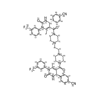 CC1=C(C(=O)N2CCN(CCN3CCN(C(=O)C4=C(C)N(c5cccc(C(F)(F)F)c5)C(=O)N[C@@H]4c4ccc(C#N)cc4)CC3)CC2)[C@@H](c2ccc(C#N)cc2)NC(=O)N1c1cccc(C(F)(F)F)c1